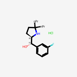 CCCC1(CCC)CC[C@H]([C@@H](O)c2cccc(F)c2)N1.Cl